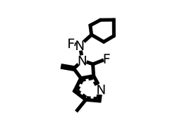 C=C1c2cc(C)cnc2C(F)N1N(F)C1CCCCC1